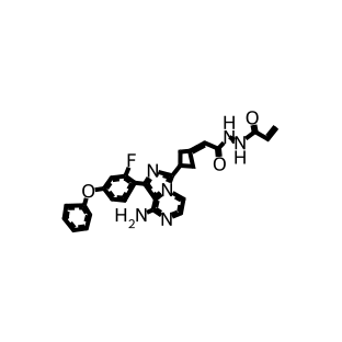 C=CC(=O)NNC(=O)C=C1CC(c2nc(-c3ccc(Oc4ccccc4)cc3F)c3c(N)nccn23)C1